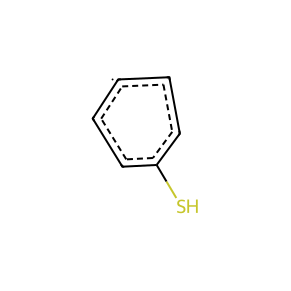 Sc1cc[c]cc1